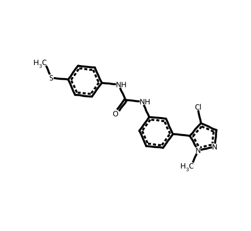 CSc1ccc(NC(=O)Nc2cccc(-c3c(Cl)cnn3C)c2)cc1